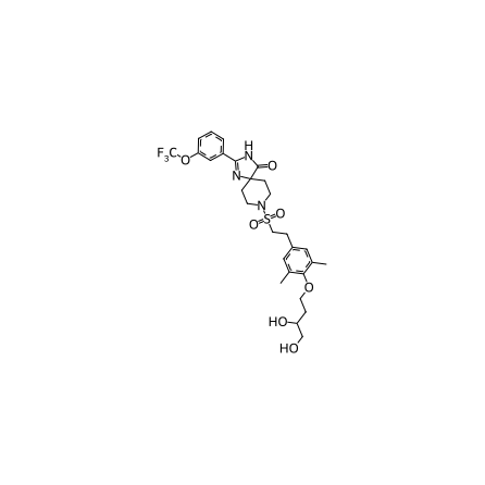 Cc1cc(CCS(=O)(=O)N2CCC3(CC2)N=C(c2cccc(OC(F)(F)F)c2)NC3=O)cc(C)c1OCCC(O)CO